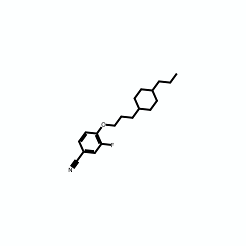 CCCC1CCC(CCCOc2ccc(C#N)cc2F)CC1